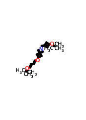 CC(C)(C)OCCCCOC1CC2(C1)CN(CC1CC(OC(C)(C)C)C1)C2